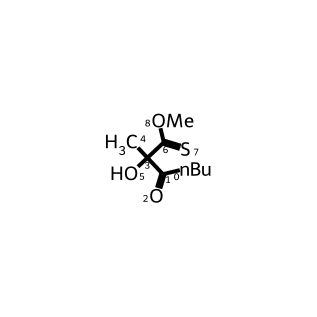 CCCCC(=O)C(C)(O)C(=S)OC